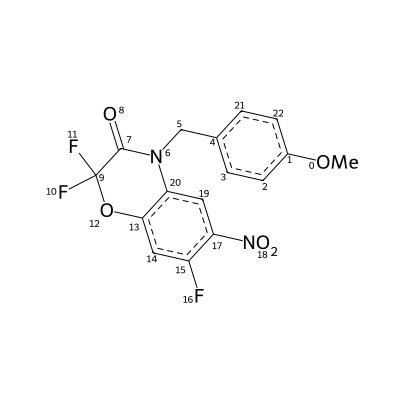 COc1ccc(CN2C(=O)C(F)(F)Oc3cc(F)c([N+](=O)[O-])cc32)cc1